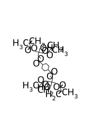 C=C(C)C(=O)OCC(CO)(COC(=O)C(=C)C)COC(=O)C1CCC(C(=O)OCC(CO)(COC(=O)C(=C)C)COC(=O)C(=C)C)CC1